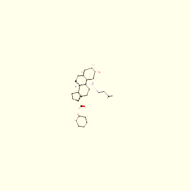 CC(C)CCN[C@@H]1C[C@]2(C)[C@@H](C(=O)OC3CCCCC3)CC[C@H]2[C@@H]2CC[C@H]3C[C@H](O)[C@@H](O)C[C@]3(C)[C@H]21